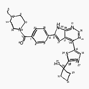 CN1CCN(C(=O)c2ccc(-c3cc4c(-c5cnc(C6(O)CCC6)s5)ncnc4[nH]3)cc2)CC1